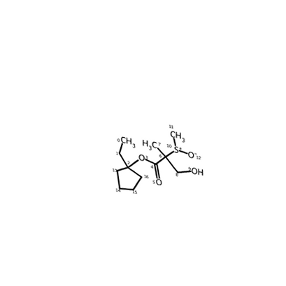 CCC1(OC(=O)C(C)(CO)[S+](C)[O-])CCCC1